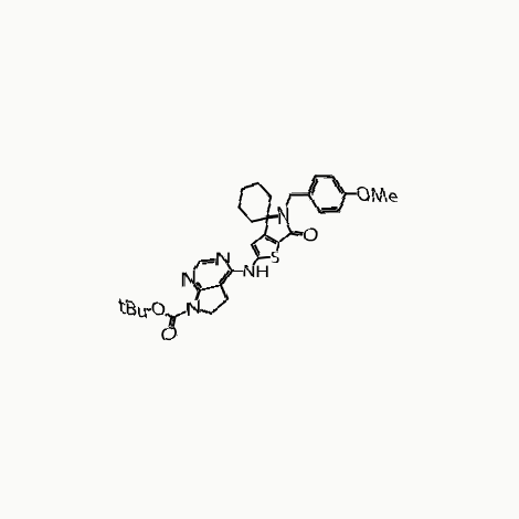 COc1ccc(CN2C(=O)c3sc(Nc4ncnc5c4CCN5C(=O)OC(C)(C)C)cc3C23CCCCC3)cc1